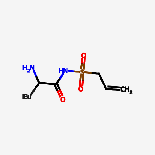 C=CCS(=O)(=O)NC(=O)C(N)C(C)CC